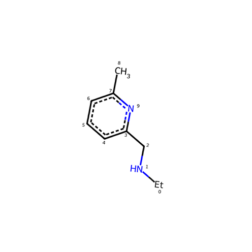 CCNCc1cccc(C)n1